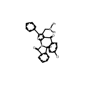 CC(C)N(Cc1c(-c2ccccc2)sc(N2C(=O)c3ccccc3C2=O)c1C(=O)c1ccc(Cl)cc1)C(C)C